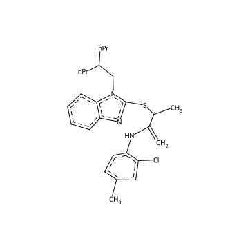 C=C(Nc1ccc(C)cc1Cl)C(C)Sc1nc2ccccc2n1CC(CCC)CCC